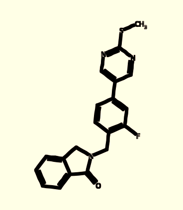 CSc1ncc(-c2ccc(CN3Cc4ccccc4C3=O)c(F)c2)cn1